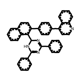 c1ccc(C2=NC(c3c(-c4ccc(-c5ccnc6ccccc56)cc4)ccc4ccccc34)NC(c3ccccc3)=N2)cc1